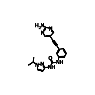 CC(C)n1ccc(NC(=O)Nc2cccc(C#Cc3cnc(N)nc3)c2)n1